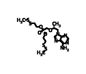 CSSCCOP(=O)(CO[C@H](C)Cn1cnc2c(N)ncnc21)OCCSSC